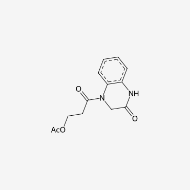 CC(=O)OCCC(=O)N1CC(=O)Nc2ccccc21